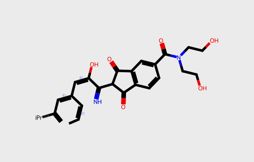 C=C(/C=C(\C=C/C)/C=C(/O)C(=N)C1C(=O)c2ccc(C(=O)N(CCO)CCO)cc2C1=O)C(C)C